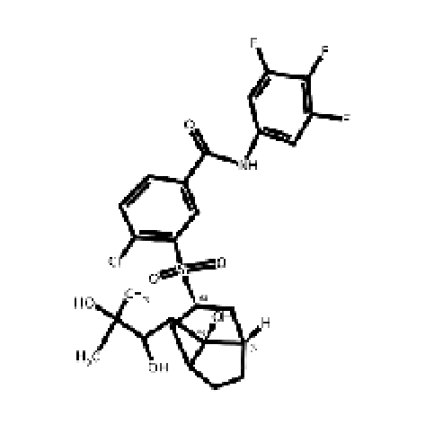 CC(C)(O)C(O)C[C@@]1(O)C2CC[C@H]1C[C@H](S(=O)(=O)c1cc(C(=O)Nc3cc(F)c(F)c(F)c3)ccc1Cl)C2